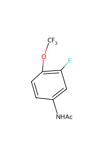 CC(=O)Nc1ccc(OC(F)(F)F)c(F)c1